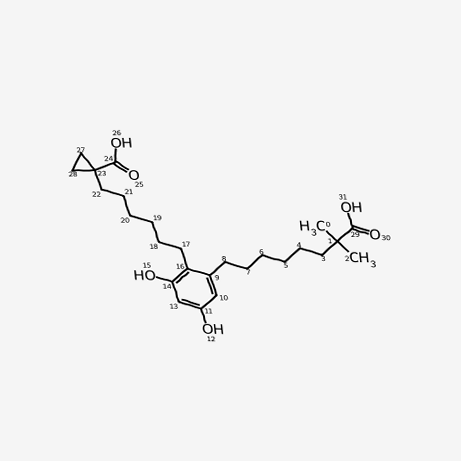 CC(C)(CCCCCCc1cc(O)cc(O)c1CCCCCCC1(C(=O)O)CC1)C(=O)O